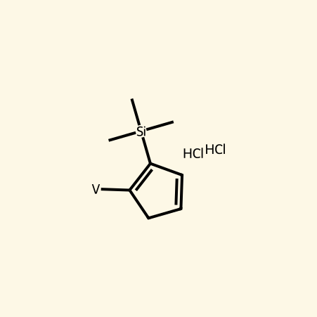 C[Si](C)(C)C1=[C]([V])CC=C1.Cl.Cl